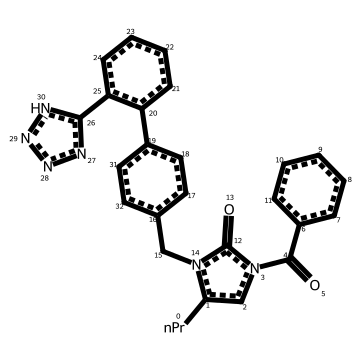 CCCc1cn(C(=O)c2ccccc2)c(=O)n1Cc1ccc(-c2ccccc2-c2nnn[nH]2)cc1